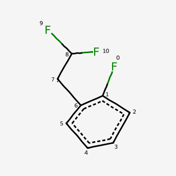 Fc1ccccc1[CH]C(F)F